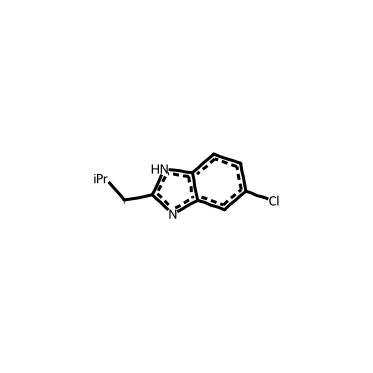 CC(C)[CH]c1nc2cc(Cl)ccc2[nH]1